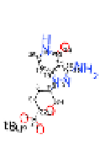 CC(C)(C)OC(=O)[C@@H]1CC[C@@H](n2nc(N)c3c(=O)[nH]ccc32)CO1